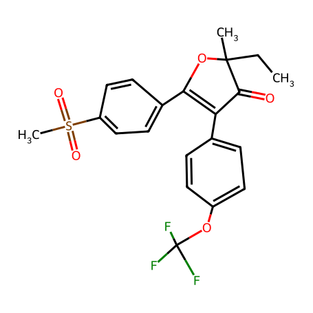 CCC1(C)OC(c2ccc(S(C)(=O)=O)cc2)=C(c2ccc(OC(F)(F)F)cc2)C1=O